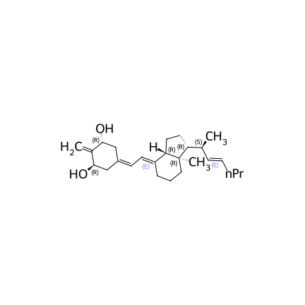 C=C1[C@H](O)CC(=C/C=C2\CCC[C@]3(C)[C@@H]([C@@H](C)/C=C/CCC)CC[C@@H]23)C[C@H]1O